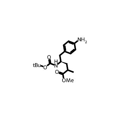 COC(=O)C(C)C[C@H](Cc1ccc(N)cc1)NC(=O)OC(C)(C)C